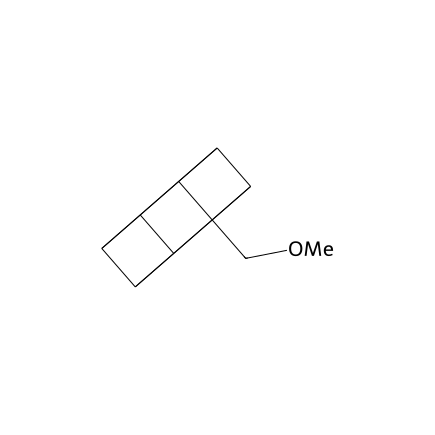 COCC12C3C4C5C3C1C5C42